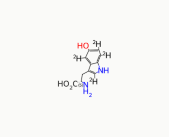 [2H]c1[nH]c2c([2H])c([2H])c(O)c([2H])c2c1C[C@H](N)C(=O)O